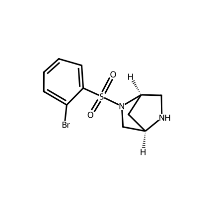 O=S(=O)(c1ccccc1Br)N1C[C@H]2C[C@@H]1CN2